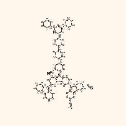 N#Cc1ccc2c(c1)c1cc(C#N)ccc1n2-c1ccc2c(c1)c1cc(-n3c4ccccc4c4ccccc43)ccc1n2-c1ccc(-c2ccc(-c3ccc(-c4cc(-c5ccccc5)nc(-c5ccccc5)n4)cc3)cc2)cc1C#N